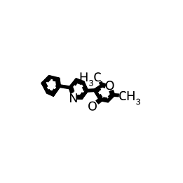 Cc1cc(=O)c(-c2ccc(-c3ccccc3)nc2)c(C)o1